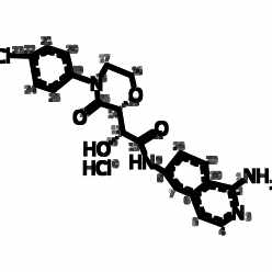 Cl.Nc1nccc2cc(NC(=O)[C@H](O)[C@H]3OCCN(c4ccc(Cl)cc4)C3=O)ccc12